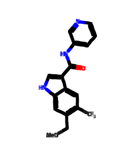 COCc1cc2[nH]cc(C(=O)Nc3cccnc3)c2cc1C(F)(F)F